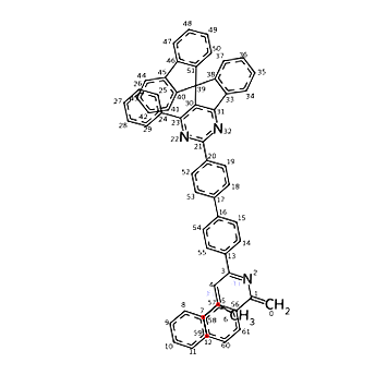 C=C(/N=C(\C=C(/C)c1ccccc1)c1ccc(-c2ccc(-c3nc(-c4ccccc4)c4c(n3)-c3ccccc3C43c4ccccc4-c4ccccc43)cc2)cc1)c1ccccc1